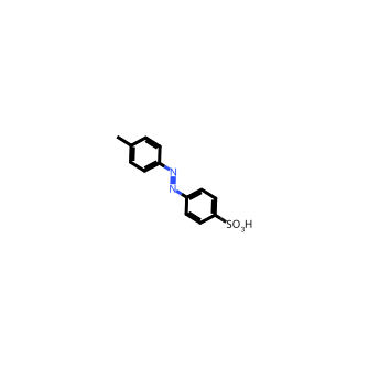 Cc1ccc(/N=N/c2ccc(S(=O)(=O)O)cc2)cc1